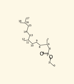 CCOC(=O)CC(C)CCCC(C)CCCC(C)C